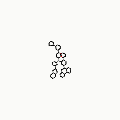 c1ccc(-c2cccc(-c3ccc(N(c4cccc(-c5ccc6ccccc6c5)c4)c4cc(-c5cc6ccccc6c6ccccc56)ccc4-c4ccccc4)cc3)c2)cc1